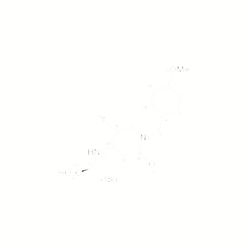 COc1ccc(Cn2cc(F)c(N[C@H](C(=O)O)C(C)(C)C)cc2=O)cc1